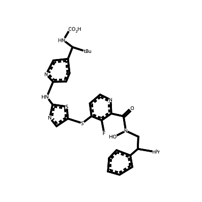 CCCC(CN(O)C(=O)c1nccc(Sc2cnc(Nc3ccc(C(NC(=O)O)C(C)(C)C)cn3)s2)c1F)c1ccccc1